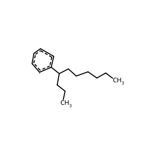 CCCCCCC(CCC)c1[c]cccc1